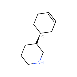 C1=CC[C@@H](C2CCCNC2)CC1